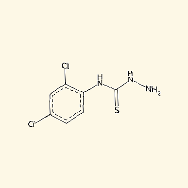 NNC(=S)Nc1ccc(Cl)cc1Cl